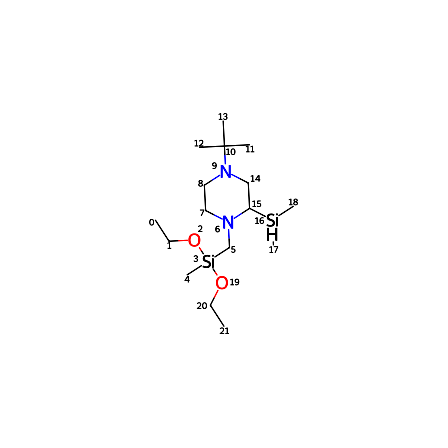 CCO[Si](C)(CN1CCN(C(C)(C)C)CC1[SiH](C)C)OCC